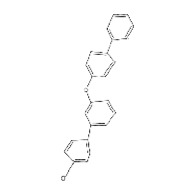 Clc1ccc(-c2cccc(Oc3ccc(-c4[c]cccc4)cc3)c2)cc1